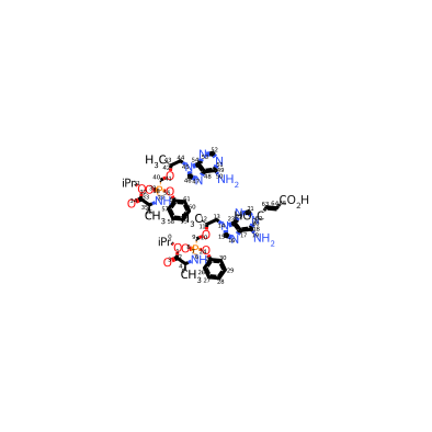 CC(C)OC(=O)[C@H](C)N[P@](=O)(CO[C@H](C)Cn1cnc2c(N)ncnc21)Oc1ccccc1.CC(C)OC(=O)[C@H](C)N[P@](=O)(CO[C@H](C)Cn1cnc2c(N)ncnc21)Oc1ccccc1.O=C(O)/C=C/C(=O)O